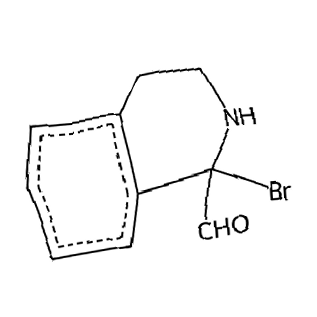 O=CC1(Br)NCCc2ccccc21